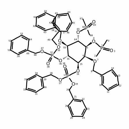 CP(C)(=O)O[C@H]1[C@@H](OCc2ccccc2)[C@@H](OP(=O)(OCc2ccccc2)OCc2ccccc2)[C@H](OP(=O)(OCc2ccccc2)OCc2ccccc2)[C@@H](OCc2ccccc2)[C@@H]1OP(C)(C)=O